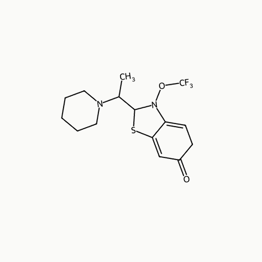 CC(C1SC2=CC(=O)CC=C2N1OC(F)(F)F)N1CCCCC1